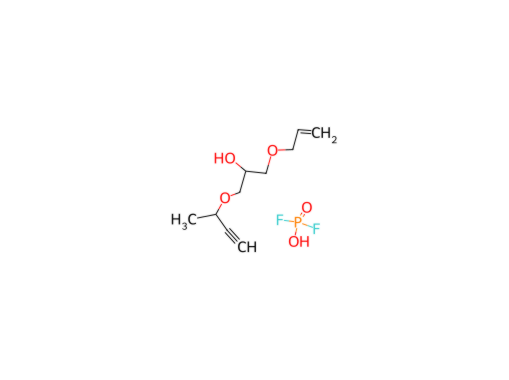 C#CC(C)OCC(O)COCC=C.O=P(O)(F)F